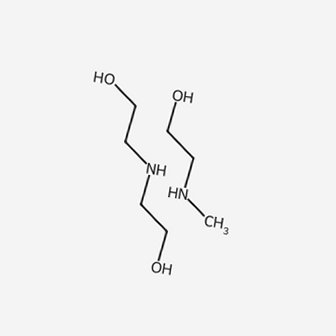 CNCCO.OCCNCCO